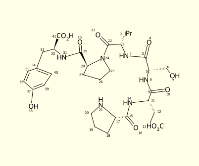 CC(C)[C@H](NC(=O)[C@H](CO)NC(=O)[C@H](CC(=O)O)NC(=O)[C@@H]1CCCN1)C(=O)N1CCC[C@H]1C(=O)N[C@@H](Cc1ccc(O)cc1)C(=O)O